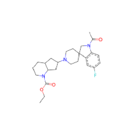 CCOC(=O)N1CCCC2CC(N3CCC4(CC3)CN(C(C)=O)c3ccc(F)cc34)CC21